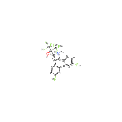 COC(c1cc(-c2ccc(F)cc2)c(-c2ccc(F)cc2)n1C)(C(F)(F)F)C(F)(F)F